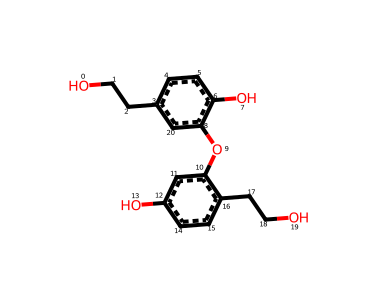 OCCc1ccc(O)c(Oc2cc(O)ccc2CCO)c1